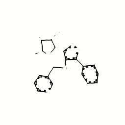 C[C@@H]1O[C@@H](c2[nH]nc(-c3ccccc3)c2NCc2cccnc2)[C@H](O)[C@@H]1O